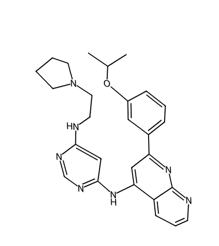 CC(C)Oc1cccc(-c2cc(Nc3cc(NCCN4CCCC4)ncn3)c3cccnc3n2)c1